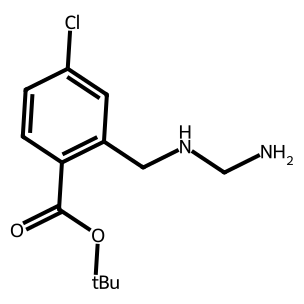 CC(C)(C)OC(=O)c1ccc(Cl)cc1CNCN